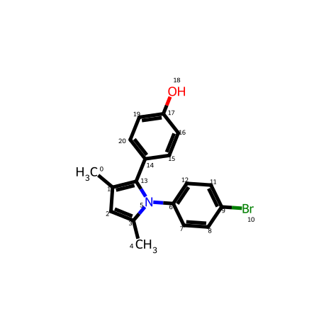 Cc1cc(C)n(-c2ccc(Br)cc2)c1-c1ccc(O)cc1